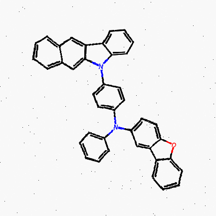 c1ccc(N(c2ccc(-n3c4ccccc4c4cc5ccccc5cc43)cc2)c2ccc3oc4ccccc4c3c2)cc1